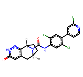 O=C(Nc1cc(Cl)c(-c2ccnc(F)c2)cc1F)N1[C@H]2CC[C@@H]1c1n[nH]c(=O)cc1C2